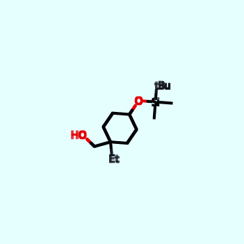 CCC1(CO)CCC(O[Si](C)(C)C(C)(C)C)CC1